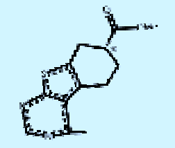 COC(=O)[C@H]1CCc2c(sc3ncnc(C)c23)C1